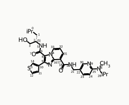 CC(C)C[C@@H](CO)NC(=O)c1c(-c2ccsc2)nc2c(C(=O)NCc3ccc(N(C)C(C)C)nc3)cccn12